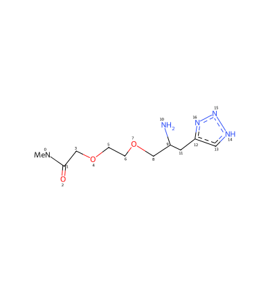 CNC(=O)COCCOCC(N)Cc1c[nH]nn1